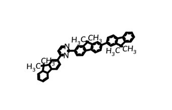 CC1(C)c2ccccc2-c2ccc(-c3ccc4c(c3)C(C)(C)c3cc(-c5nccc(C6=CC7C(C=C6)C6C=CC=CC6C7(C)C)n5)ccc3-4)cc21